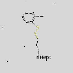 CCCCCCCCCCSSc1ccccc1C